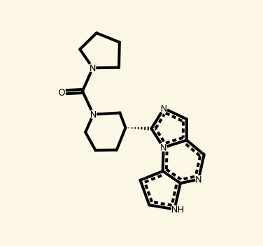 O=C(N1CCCC1)N1CCC[C@@H](c2ncc3cnc4[nH]ccc4n23)C1